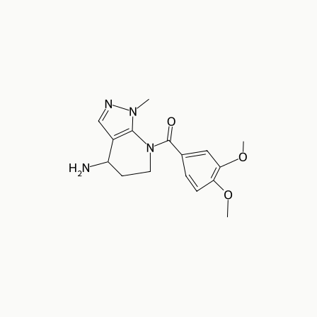 COc1ccc(C(=O)N2CCC(N)c3cnn(C)c32)cc1OC